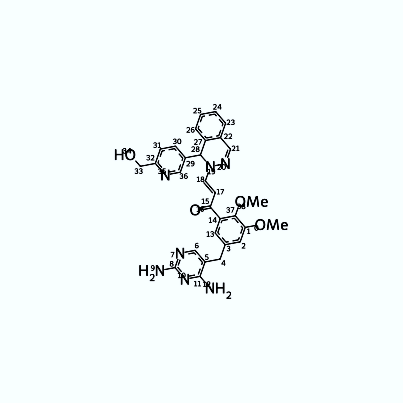 COc1cc(Cc2cnc(N)nc2N)cc(C(=O)/C=C/N2N=Cc3ccccc3C2c2ccc(CO)nc2)c1OC